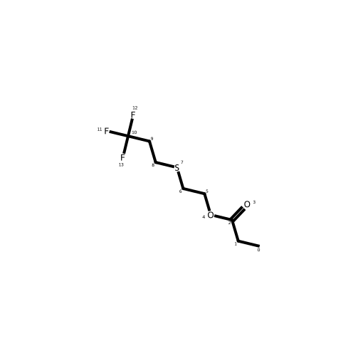 CCC(=O)OCCSCCC(F)(F)F